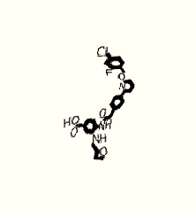 O=C(Cc1ccc(-c2cccc(OCc3ccc(Cl)cc3F)n2)cc1)Nc1ccc(C(=O)O)cc1NCC1CCO1